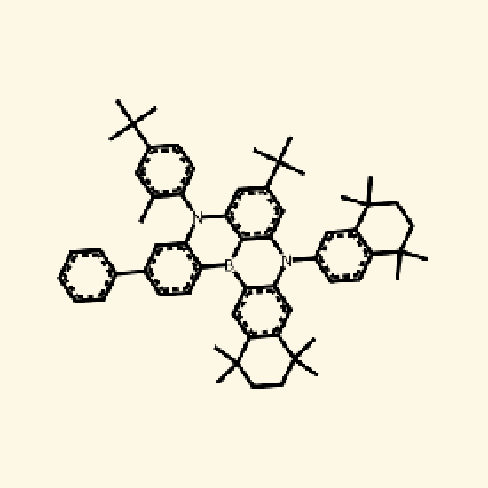 Cc1cc(C(C)(C)C)ccc1N1c2cc(-c3ccccc3)ccc2B2c3cc4c(cc3N(c3ccc5c(c3)C(C)(C)CCC5(C)C)c3cc(C(C)(C)C)cc1c32)C(C)(C)CCC4(C)C